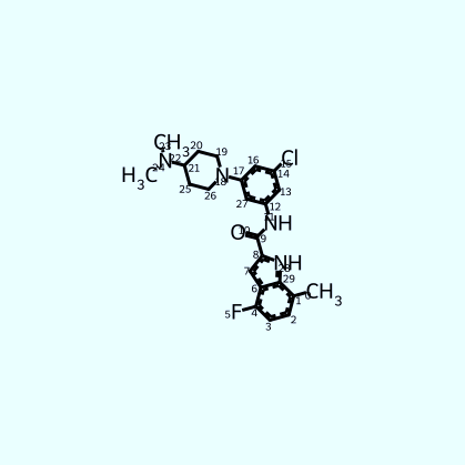 Cc1ccc(F)c2cc(C(=O)Nc3cc(Cl)cc(N4CCC(N(C)C)CC4)c3)[nH]c12